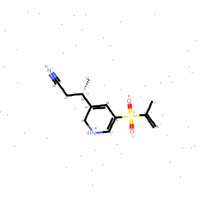 C=C(C)S(=O)(=O)C1=CNCC([C@@H](C)CC#N)=C1